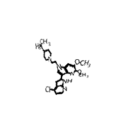 CNC1CCN(CCn2cc(-c3cc4c(Cl)ccnc4[nH]3)c3nc(OC)c(OC)cc32)CC1